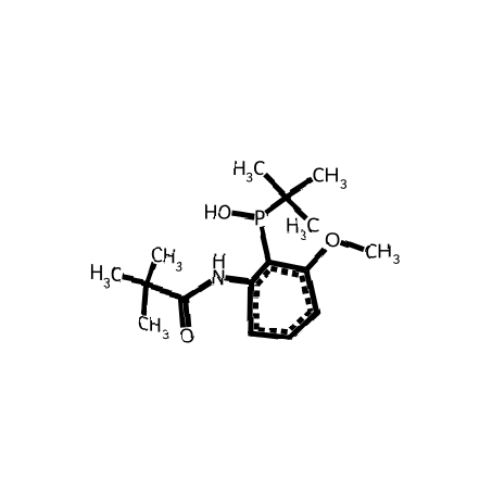 COc1cccc(NC(=O)C(C)(C)C)c1P(O)C(C)(C)C